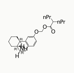 CCCC(CCC)C(=O)OCOc1ccc2c(c1)[C@@]13CCCC[C@H]1[C@@H](C2)NCC3